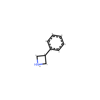 [c]1ccc(C2CNC2)cc1